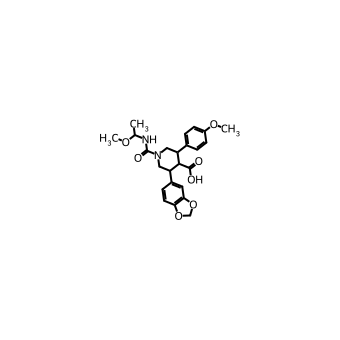 COc1ccc(C2CN(C(=O)NC(C)OC)CC(c3ccc4c(c3)OCO4)C2C(=O)O)cc1